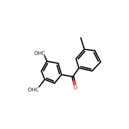 Cc1cccc(C(=O)c2cc(C=O)cc(C=O)c2)c1